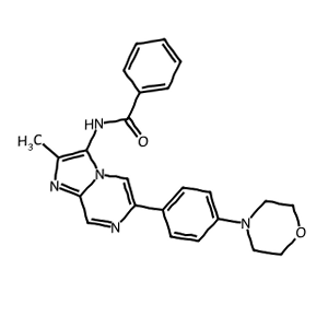 Cc1nc2cnc(-c3ccc(N4CCOCC4)cc3)cn2c1NC(=O)c1ccccc1